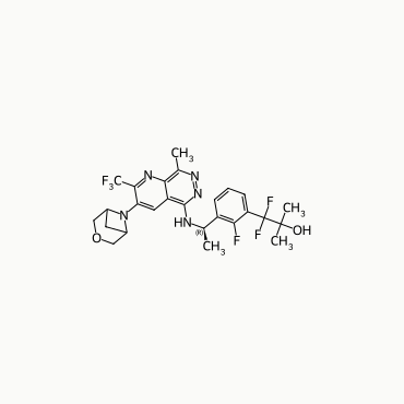 Cc1nnc(N[C@H](C)c2cccc(C(F)(F)C(C)(C)O)c2F)c2cc(N3C4COCC3C4)c(C(F)(F)F)nc12